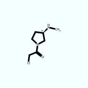 CN[C@@H]1CCN(C(=O)CCl)C1